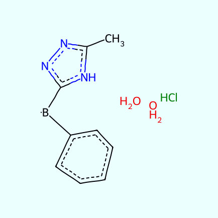 Cc1nnc([B]c2ccccc2)[nH]1.Cl.O.O